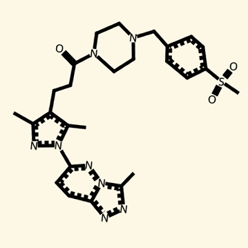 Cc1nn(-c2ccc3nnc(C)n3n2)c(C)c1CCC(=O)N1CCN(Cc2ccc(S(C)(=O)=O)cc2)CC1